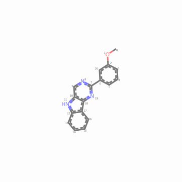 COc1cccc(-c2ncc3[nH]c4ccccc4c3n2)c1